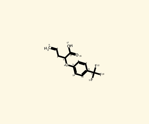 C=CCC(Oc1ccc(C(F)(F)F)cc1)C(=O)O